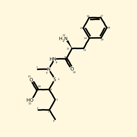 CC(C)CC(SN(C)NC(=O)[C@@H](N)Cc1ccccc1)C(=O)O